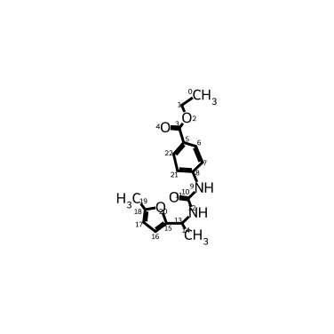 CCOC(=O)c1ccc(NC(=O)NC(C)c2ccc(C)o2)cc1